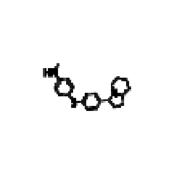 CNc1ccc(Sc2ccc(C3CCC4CCCCN43)cc2)cc1